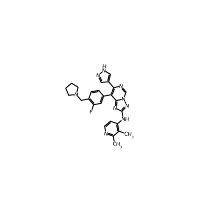 Cc1nccc(Nc2nc3c(-c4ccc(CN5CCCC5)c(F)c4)c(-c4cn[nH]c4)ncn3n2)c1C